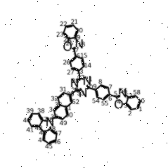 c1ccc2oc(-c3ccc(-c4nc(-c5ccc(-c6nc7ccccc7o6)cc5)nc(-c5ccc6cc(-n7c8ccccc8c8ccccc87)ccc6c5)n4)cc3)nc2c1